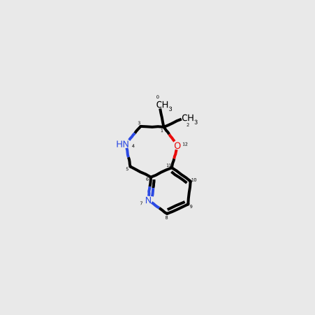 CC1(C)CNCc2ncccc2O1